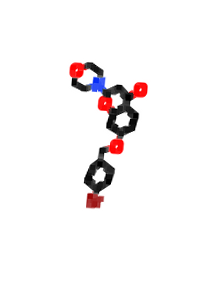 O=c1cc(N2CCOCC2)oc2cc(OCc3ccc(Br)cc3)ccc12